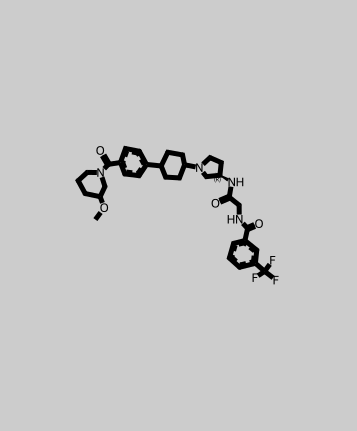 COC1CCCN(C(=O)c2ccc(C3CCC(N4CC[C@@H](NC(=O)CNC(=O)c5cccc(C(F)(F)F)c5)C4)CC3)cc2)C1